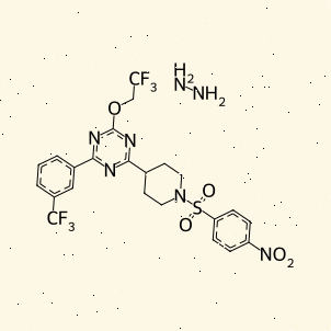 NN.O=[N+]([O-])c1ccc(S(=O)(=O)N2CCC(c3nc(OCC(F)(F)F)nc(-c4cccc(C(F)(F)F)c4)n3)CC2)cc1